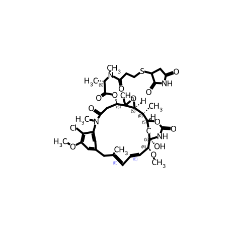 COc1cc2cc(c1Cl)N(C)C(=O)C[C@H](OC(=O)[C@H](C)N(C)C(=O)CCSC1CC(=O)NC1=O)C1(C)O[C@H]1[C@H](C)[C@@H]1C[C@@](O)(NC(=O)O1)[C@H](OC)/C=C/C=C(\C)C2